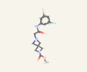 CC(C)(C)OC(=O)N1CC2(CN(CC(=O)Nc3cc(F)cc(Cl)c3)C2)C1